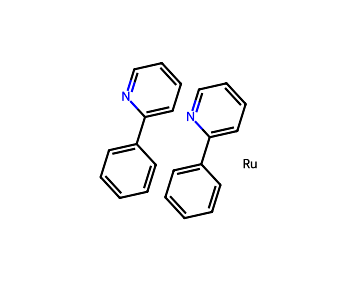 [Ru].c1ccc(-c2ccccn2)cc1.c1ccc(-c2ccccn2)cc1